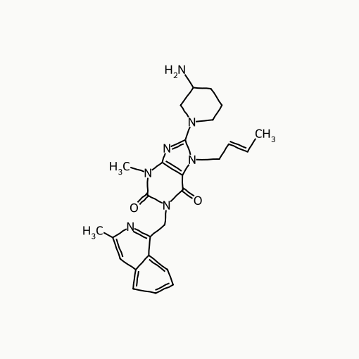 CC=CCn1c(N2CCCC(N)C2)nc2c1c(=O)n(Cc1nc(C)cc3ccccc13)c(=O)n2C